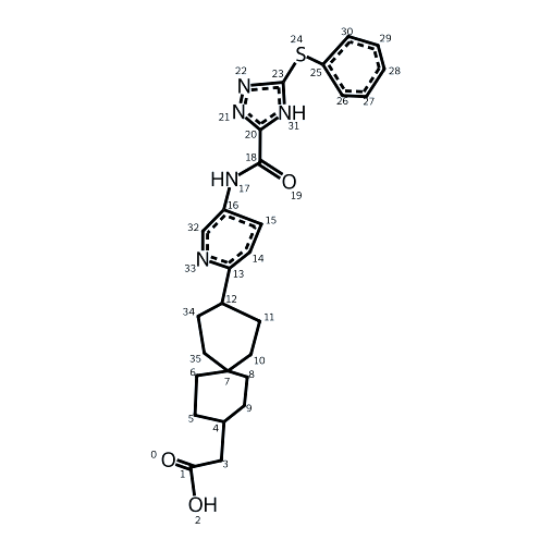 O=C(O)CC1CCC2(CC1)CCC(c1ccc(NC(=O)c3nnc(Sc4ccccc4)[nH]3)cn1)CC2